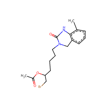 CC(=O)OC(CBr)CCCCN1Cc2cccc(C)c2NC1=O